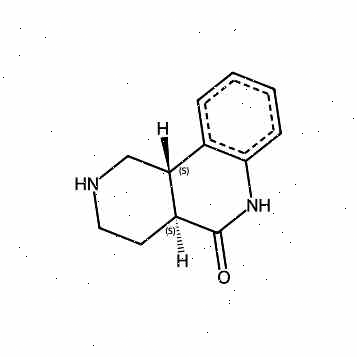 O=C1Nc2ccccc2[C@H]2CNCC[C@H]12